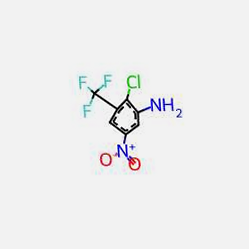 Nc1cc([N+](=O)[O-])cc(C(F)(F)F)c1Cl